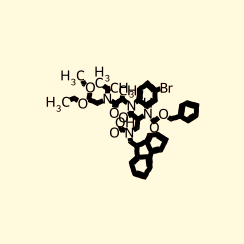 CCOC(CN(C(=O)C(C)N(C(=O)C(CN(CC1c2ccccc2-c2ccccc21)C(=O)O)NC(=O)OCc1ccccc1)c1ccc(Br)cc1)C(C)C)OCC